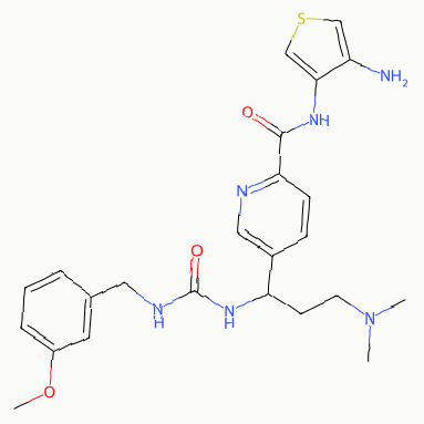 COc1cccc(CNC(=O)NC(CCN(C)C)c2ccc(C(=O)Nc3cscc3N)nc2)c1